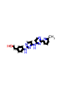 Cc1cccc(-c2nccc(Nc3ccnc(Nc4ccc(CCO)cc4)n3)n2)n1